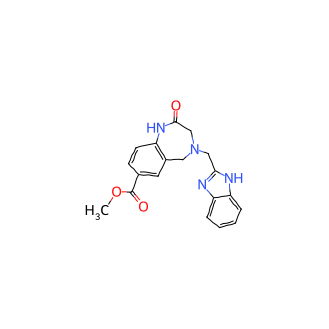 COC(=O)c1ccc2c(c1)CN(Cc1nc3ccccc3[nH]1)CC(=O)N2